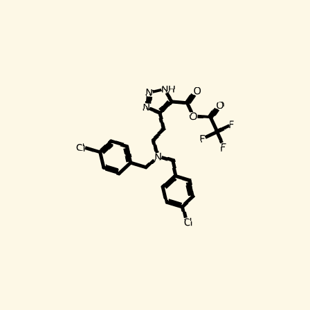 O=C(OC(=O)C(F)(F)F)c1[nH]nnc1CCN(Cc1ccc(Cl)cc1)Cc1ccc(Cl)cc1